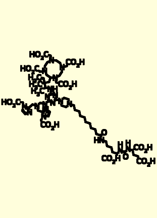 C=CC(C)(CC1CN(CC(=O)O)CCN(CC(=O)O)CCN(CC(=O)O)CCN1CC(=O)O)C(C)Nc1nc(NCN(Cc2nccn2CC(=O)O)Cc2nccn2CC(=O)O)nc(N2CCN(CCCCCCCCCCC(=O)NCCCC[C@H](NC(=O)N[C@@H](CCC(=O)O)C(=O)O)C(=O)O)CC2)n1